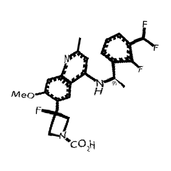 COc1cc2nc(C)cc(N[C@H](C)c3cccc(C(F)F)c3F)c2cc1C1(F)CN(C(=O)O)C1